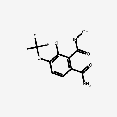 NC(=O)c1ccc(OC(F)(F)F)c(Cl)c1C(=O)NO